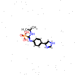 CC(C)N/C(=N\c1ccc(-c2c[nH]cn2)cc1)P(=O)(O)O